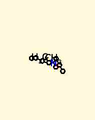 CC1(C)c2cc(-c3ccc4ccccc4c3)ccc2-c2ccc(N(c3ccccc3)c3ccccc3-c3ccc(-c4ccccc4)cc3)cc21